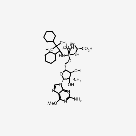 COc1nc(N)nc2c1ncn2[C@@H]1O[C@H](COP(=O)(N[C@H](C(=O)O)C(C)C)N[C@@](C(=O)O)(C2CCCCC2)C(C)(C)C2CCCCC2)[C@@H](O)[C@@]1(C)O